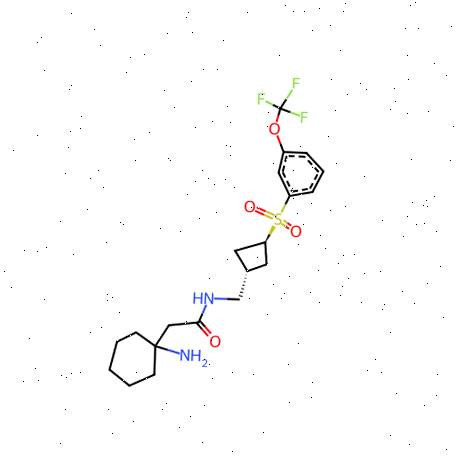 NC1(CC(=O)NC[C@H]2C[C@H](S(=O)(=O)c3cccc(OC(F)(F)F)c3)C2)CCCCC1